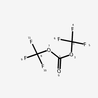 O=C(OC(F)(F)F)OC(F)(F)F